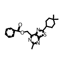 Cc1nc(COC(=O)c2ccccc2)c2nc(C3CCC(C)(C)CC3)sc2n1